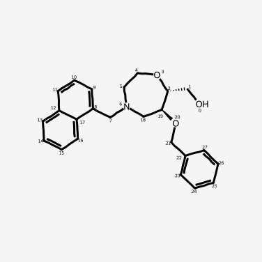 OC[C@H]1OCCN(Cc2cccc3ccccc23)C[C@@H]1OCc1ccccc1